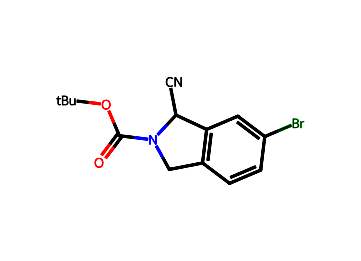 CC(C)(C)OC(=O)N1Cc2ccc(Br)cc2C1C#N